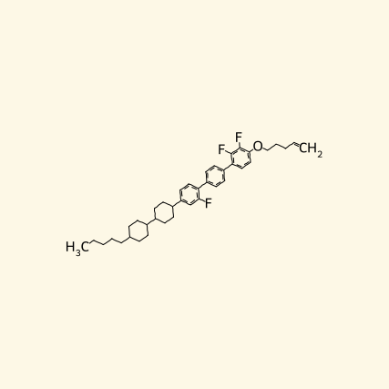 C=CCCCOc1ccc(-c2ccc(-c3ccc(C4CCC(C5CCC(CCCCC)CC5)CC4)cc3F)cc2)c(F)c1F